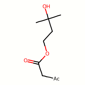 CC(=O)CC(=O)OCCC(C)(C)O